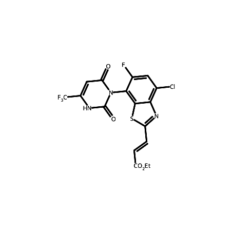 CCOC(=O)C=Cc1nc2c(Cl)cc(F)c(-n3c(=O)cc(C(F)(F)F)[nH]c3=O)c2s1